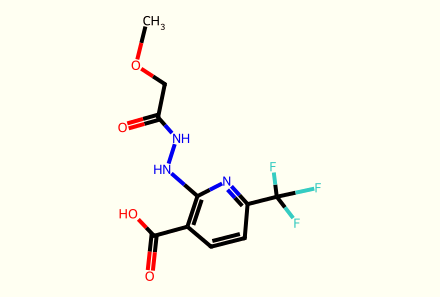 COCC(=O)NNc1nc(C(F)(F)F)ccc1C(=O)O